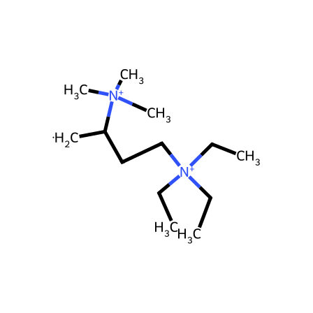 [CH2]C(CC[N+](CC)(CC)CC)[N+](C)(C)C